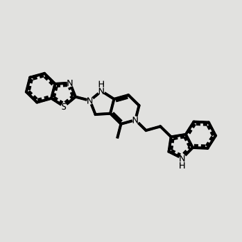 CC1=C2CN(c3nc4ccccc4s3)NC2=CCN1CCc1c[nH]c2ccccc12